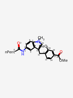 CCCCCC(=O)Nc1ccc2c(c1)c(Cc1ccc(C(=O)OC)cc1OC)cn2C